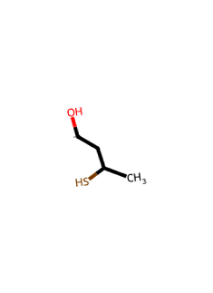 CC(S)C[CH]O